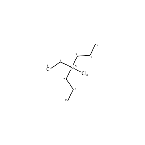 CCC[Si](Cl)(CCl)CCC